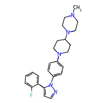 CN1CCN(C2CCN(c3ccc(-n4nccc4-c4ccccc4F)cc3)CC2)CC1